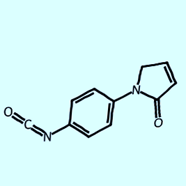 O=C=Nc1ccc(N2CC=CC2=O)cc1